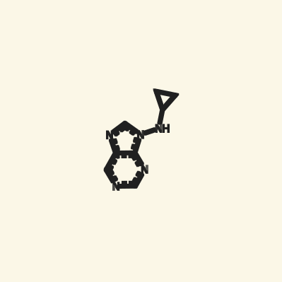 c1ncc2ncn(NC3CC3)c2n1